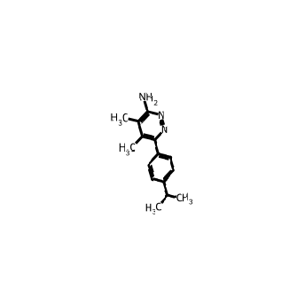 Cc1c(N)nnc(-c2ccc(C(C)C)cc2)c1C